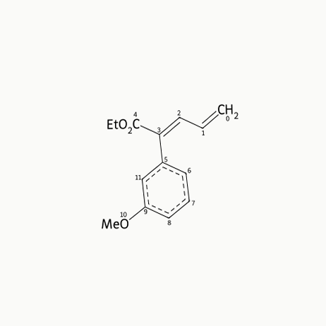 C=C/C=C(/C(=O)OCC)c1cccc(OC)c1